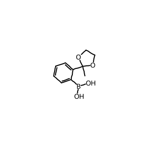 CC1(c2ccccc2B(O)O)OCCO1